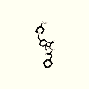 O=C(Cc1ccccc1)N[C@@H]1C(=O)N2C=C(C[n+]3ccc(C(=O)[O-])cc3)CS[C@@H]12